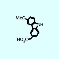 COc1ccc2[nH]c3ccc(CC(=O)O)cc3c2c1